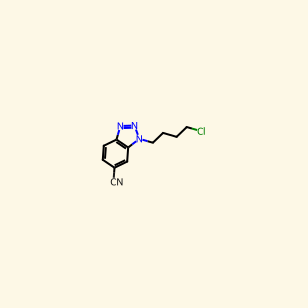 N#Cc1ccc2nnn(CCCCCl)c2c1